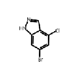 Clc1cc(Br)cc2[nH]ncc12